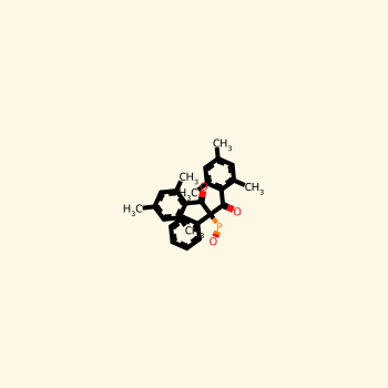 Cc1cc(C)c(C(=O)C(P=O)(C(=O)c2c(C)cc(C)cc2C)c2ccccc2)c(C)c1